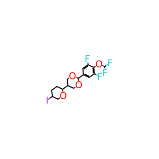 Fc1cc(C2OCC(C3CCC(I)CO3)CO2)cc(F)c1OC(F)F